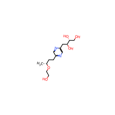 C[C@H](CCc1cnc(C[C@H](O)[C@H](O)CO)cn1)OCCO